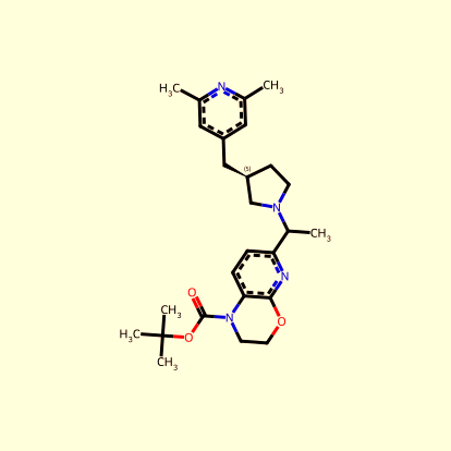 Cc1cc(C[C@H]2CCN(C(C)c3ccc4c(n3)OCCN4C(=O)OC(C)(C)C)C2)cc(C)n1